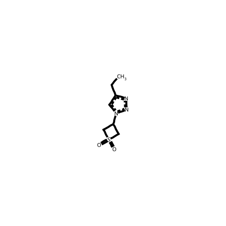 CCc1cn(C2CS(=O)(=O)C2)nn1